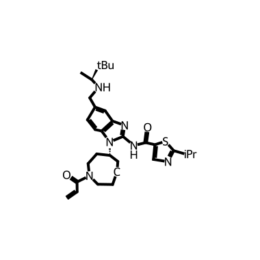 C=CC(=O)N1CCCC[C@@H](n2c(NC(=O)c3cnc(C(C)C)s3)nc3cc(CN[C@@H](C)C(C)(C)C)ccc32)CC1